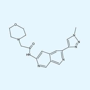 Cn1cc(-c2cc3cc(NC(=O)CN4CCOCC4)ncc3cn2)nn1